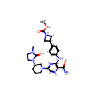 CN1CCN([C@@H]2CCCN(c3cnc(C(N)=O)c(Nc4ccc(C5CN(C(=O)OC(C)(C)C)C5)cc4)n3)C2)C1=O